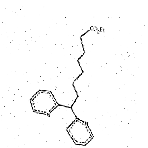 CCOC(=O)CCCCCCC(c1ccccn1)c1ccccn1